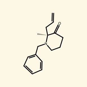 C=CC[C@@]1(C)C(=O)CCCN1Cc1ccccc1